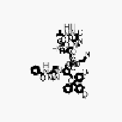 COc1ccc(C(OCC2CC(n3ccc4c(NC(=O)c5ccccc5)ncnc43)C(C)C2OP(=O)(OCCC#N)OCC2OC(n3cnc4c(=O)[nH]c(NC(=O)C(C)C)nc43)C(O[PH](=O)O)C2C)(c2ccccc2)c2ccc(OC)cc2)cc1